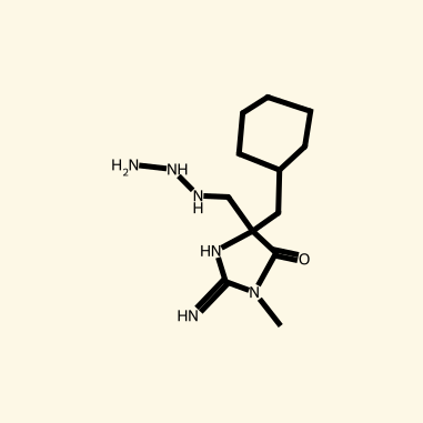 CN1C(=N)NC(CNNN)(CC2CCCCC2)C1=O